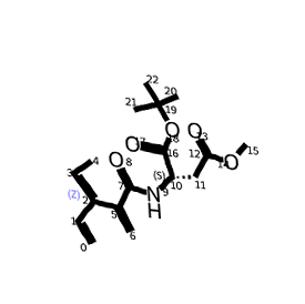 C=C/C(=C/C)C(=C)C(=O)N[C@@H](CC(=O)OC)C(=O)OC(C)(C)C